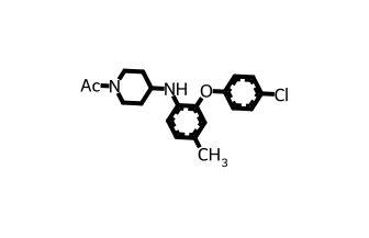 CC(=O)N1CCC(Nc2ccc(C)cc2Oc2ccc(Cl)cc2)CC1